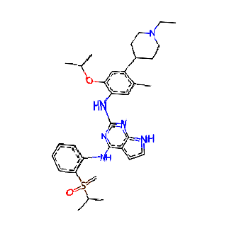 C=S(=O)(c1ccccc1Nc1nc(Nc2cc(C)c(C3CCN(CC)CC3)cc2OC(C)C)nc2[nH]ccc12)C(C)C